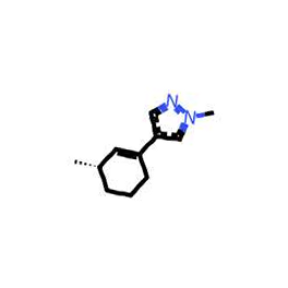 C[C@@H]1C=C(c2cnn(C)c2)CCC1